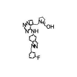 OC[C@@H]1CCCN1Cc1ccn2ncnc(Nc3ccc4c(cnn4Cc4cccc(F)c4)c3)c12